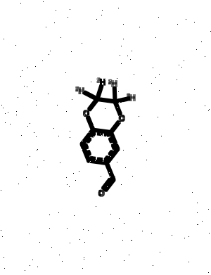 [2H]C1([2H])Oc2ccc(C=O)cc2OC1([2H])[2H]